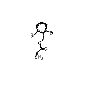 C=CC(=O)OCc1c(Br)cccc1Br